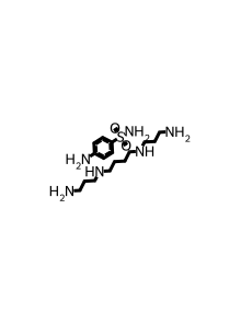 NCCCNCCCCNCCCN.Nc1ccc(S(N)(=O)=O)cc1